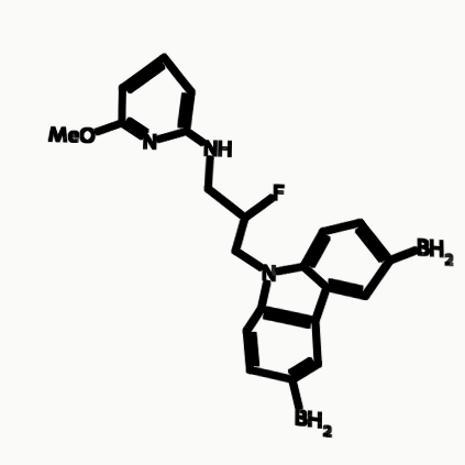 Bc1ccc2c(c1)c1cc(B)ccc1n2CC(F)CNc1cccc(OC)n1